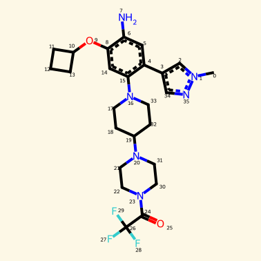 Cn1cc(-c2cc(N)c(OC3CCC3)cc2N2CCC(N3CCN(C(=O)C(F)(F)F)CC3)CC2)cn1